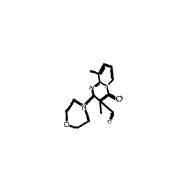 CC1=CC=CN2C(=O)C(C)(C=O)C(N3CCOCC3)N=C12